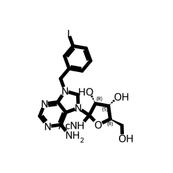 CC(=O)NC1(N2CN(Cc3cccc(I)c3)c3ncnc(N)c32)O[C@H](CO)[C@@H](O)[C@H]1O